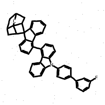 Fc1cccc(-c2ccc(-n3c4ccccc4c4c(-c5cccc6c5-c5ccccc5C65C6CC7CC8CC5C86C7)cccc43)cc2)c1